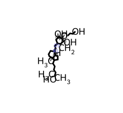 C=C1/C(=C\C=C2/CCC[C@]3(C)C(CCCCC(C)(C)O)CC[C@@H]23)C[C@@H](O)[C@@H](OCCCO)[C@@H]1O